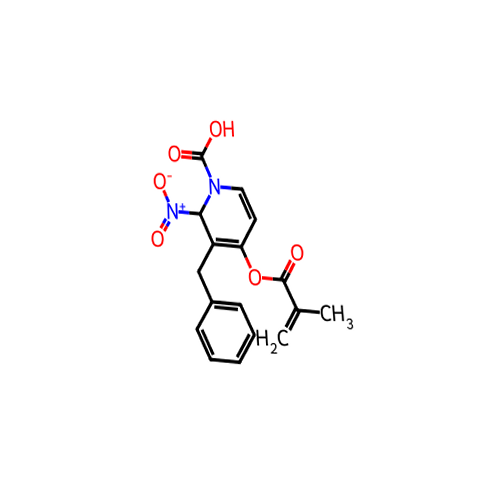 C=C(C)C(=O)OC1=C(Cc2ccccc2)C([N+](=O)[O-])N(C(=O)O)C=C1